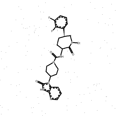 CCN1C[C@H](c2cccc(F)c2F)CCC(NC(=O)N2CCC(n3c(=O)[nH]c4ncccc43)CC2)C1=O